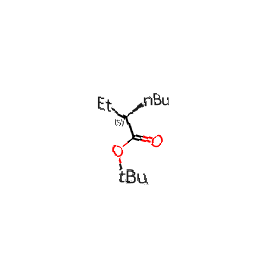 CCCC[C@H](CC)C(=O)OC(C)(C)C